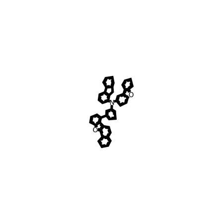 c1cc(-c2cccc3oc4c5ccccc5ccc4c23)cc(N(c2ccc3oc4ccccc4c3c2)c2cccc3c2Cc2ccccc2-3)c1